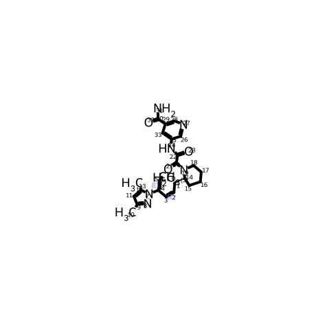 C=C(/C=C\C(=C/C)n1nc(C)cc1C)[C@@H]1CCCCN1C(=O)C(=O)Nc1cncc(C(N)=O)c1